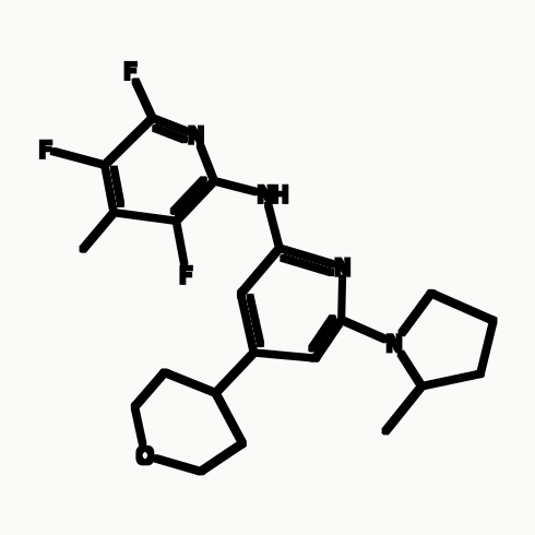 Cc1c(F)c(F)nc(Nc2cc(C3CCOCC3)cc(N3CCCC3C)n2)c1F